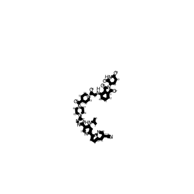 CC(C)Nc1cc(-c2ccc3cc(C#N)cnn23)ncc1-c1nnc(N2CCN(C(=O)C3CCN(C(=O)CNc4cccc5c4C(=O)N(C4CCC(=O)NC4=O)C5=O)CC3)CC2)s1